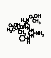 CC(=O)O.CC(=O)O.CC(=O)O.Nc1nc(NC2CCCCC2)cc(N2CC[C@@H](N)C2)n1